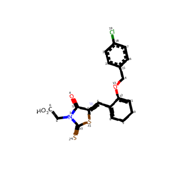 O=C(O)CN1C(=O)/C(=C/C2=CCCC=C2OCc2ccc(Cl)cc2)SC1=S